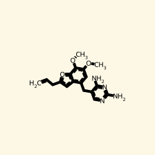 C=CCc1cc2c(Cc3cnc(N)nc3N)cc(OC)c(OC)c2o1